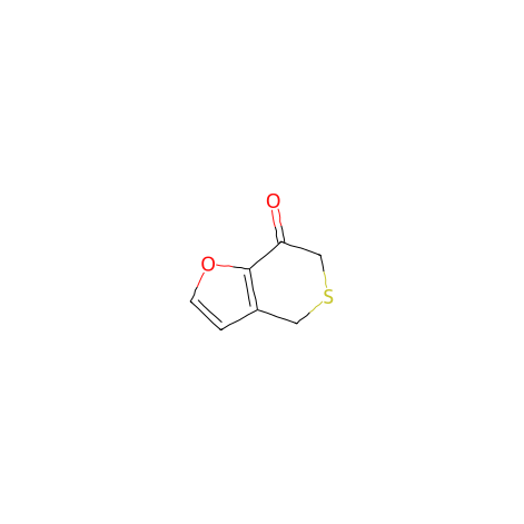 O=C1CSCc2ccoc21